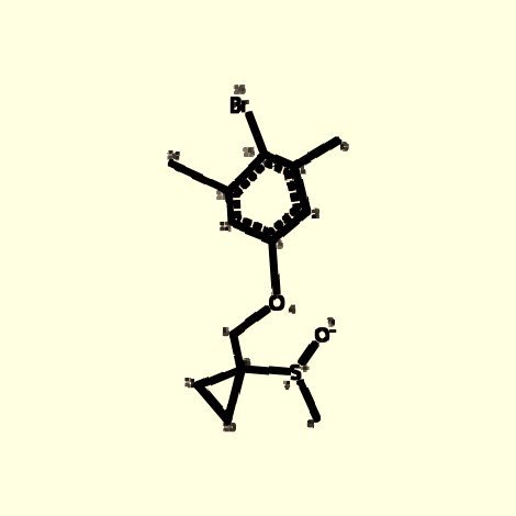 Cc1cc(OCC2([S+](C)[O-])CC2)cc(C)c1Br